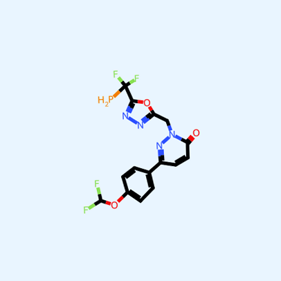 O=c1ccc(-c2ccc(OC(F)F)cc2)nn1Cc1nnc(C(F)(F)P)o1